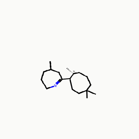 CC1CCCN=C(C2CCC(C)(C)CCC[C@H]2C)C1